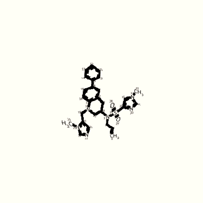 C=CCN(C1Cc2cc(-c3ccccc3)ccc2N(Cc2cncn2C)C1)S(=O)(=O)c1cn(C)cn1